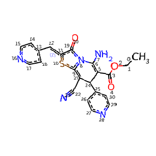 CCOC(=O)C1=C(N)n2c(s/c(=C\c3ccncc3)c2=O)=C(C#N)C1c1ccncc1